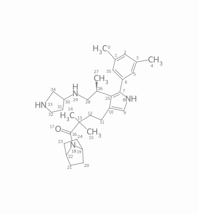 Cc1cc(C)cc(-c2[nH]cc(CCC(C)(C)C(=O)N3C4CCC3CC4)c2[C@H](C)CNC2CCNC2)c1